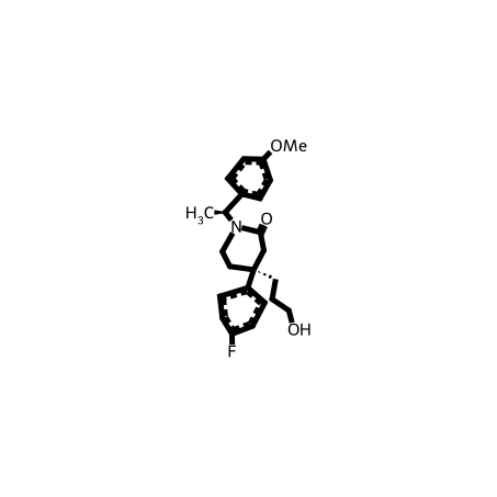 COc1ccc([C@H](C)N2CC[C@](CCCO)(c3ccc(F)cc3)CC2=O)cc1